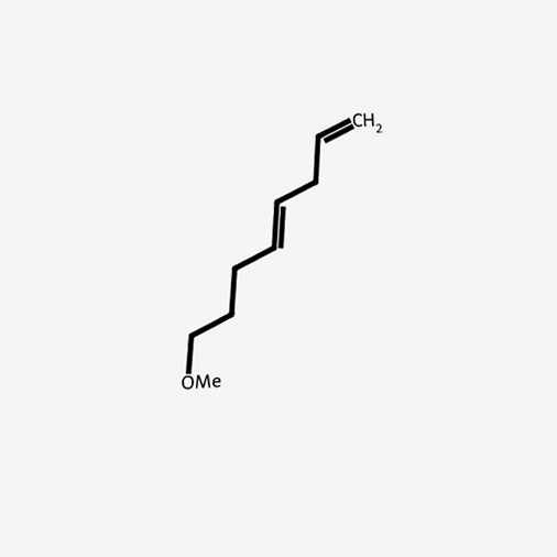 C=CCC=CCCCOC